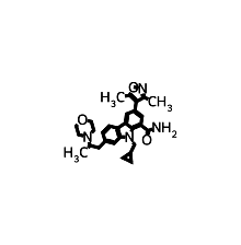 Cc1noc(C)c1-c1cc(C(N)=O)c2c(c1)c1ccc(CC(C)N3CCOCC3)cc1n2CC1CC1